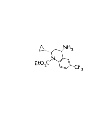 CCOC(=O)N1c2ccc(C(F)(F)F)cc2[C@@H](N)C[C@H]1C1CC1